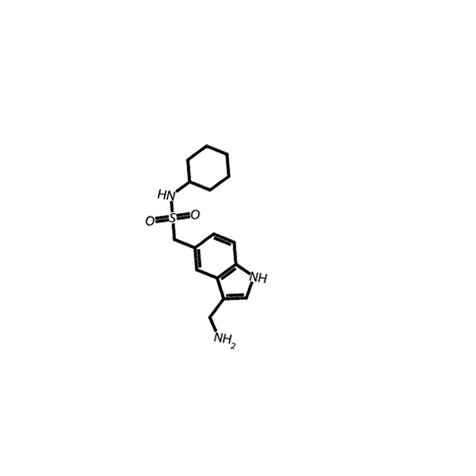 NCc1c[nH]c2ccc(CS(=O)(=O)NC3CCCCC3)cc12